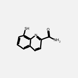 NC(=O)c1ccc2cccc(S)c2n1